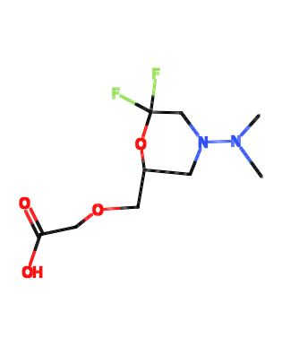 CN(C)N1CC(COCC(=O)O)OC(F)(F)C1